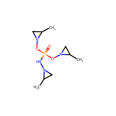 CC1CN1NP(=O)(ON1CC1C)ON1CC1C